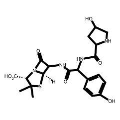 CC1(C)S[C@@H]2C(NC(=O)C(NC(=O)C3CC(O)CN3)c3ccc(O)cc3)C(=O)N2[C@H]1C(=O)O